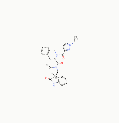 CN(C(=O)c1ccn(CC(F)(F)F)n1)[C@@H](Cc1ccccc1)C(=O)N1C[C@]2(C[C@H]1C#N)C(=O)Nc1ccccc12